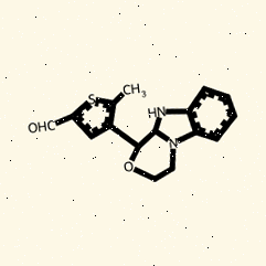 Cc1sc(C=O)cc1C1OCCN2c3ccccc3NC12